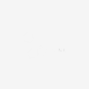 Cc1ccc(-c2cc(C)cc3c2OC(CCN)C3)cc1